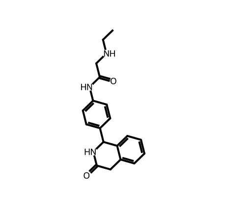 CCNCC(=O)Nc1ccc(C2NC(=O)Cc3ccccc32)cc1